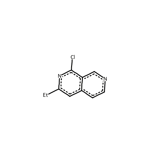 CCc1cc2ccncc2c(Cl)n1